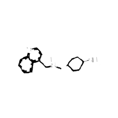 N[C@H]1CC[C@H](CNCc2ccnc3ccccc23)CC1